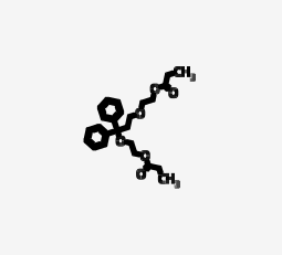 CCC(=O)OCCOCCC(OCCOC(=O)CC)(c1ccccc1)c1ccccc1